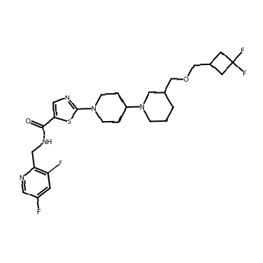 O=C(NCc1ncc(F)cc1F)c1cnc(N2CCC(N3CCCC(COCC4CC(F)(F)C4)C3)CC2)s1